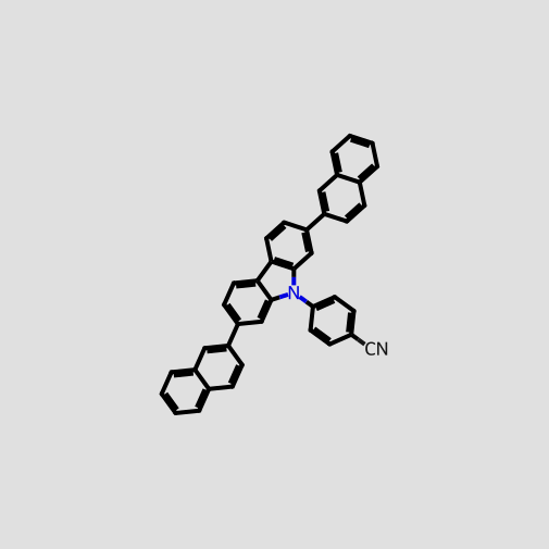 N#Cc1ccc(-n2c3cc(-c4ccc5ccccc5c4)ccc3c3ccc(-c4ccc5ccccc5c4)cc32)cc1